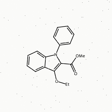 CCOc1c(C(=O)OC)n(-c2ccccc2)c2ccccc12